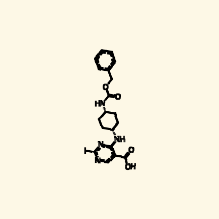 O=C(N[C@H]1CC[C@@H](Nc2nc(I)ncc2C(=O)O)CC1)OCc1ccccc1